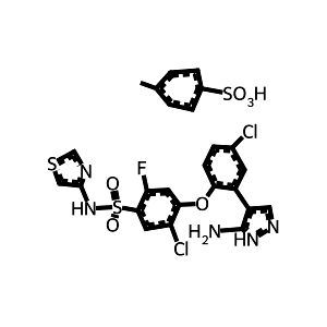 Cc1ccc(S(=O)(=O)O)cc1.Nc1[nH]ncc1-c1cc(Cl)ccc1Oc1cc(F)c(S(=O)(=O)Nc2cscn2)cc1Cl